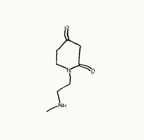 CNCCN1CCC(=O)CC1=O